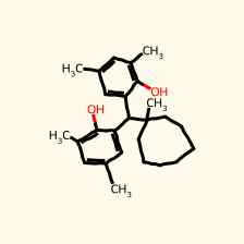 Cc1cc(C)c(O)c(C(c2cc(C)cc(C)c2O)C2(C)CCCCCCC2)c1